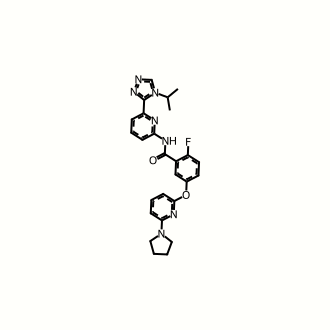 CC(C)n1cnnc1-c1cccc(NC(=O)c2cc(Oc3cccc(N4CCCC4)n3)ccc2F)n1